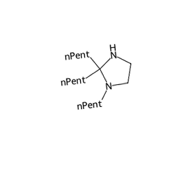 CCCCCN1CCNC1(CCCCC)CCCCC